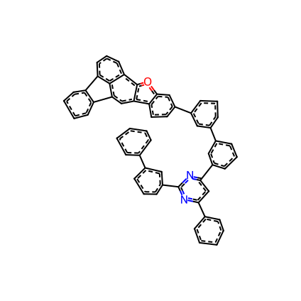 c1ccc(-c2cccc(-c3nc(-c4ccccc4)cc(-c4cccc(-c5cccc(-c6ccc7c(c6)oc6c8cccc9c8c(cc76)-c6ccccc6-9)c5)c4)n3)c2)cc1